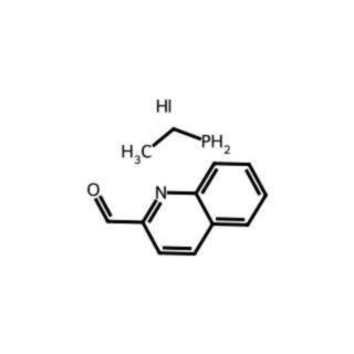 CCP.I.O=Cc1ccc2ccccc2n1